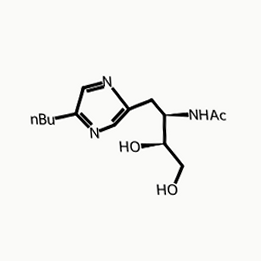 CCCCc1cnc(C[C@@H](NC(C)=O)[C@H](O)CO)cn1